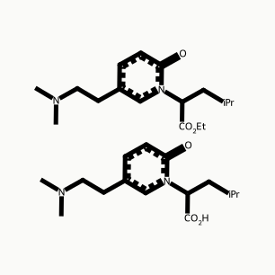 CC(C)CC(C(=O)O)n1cc(CCN(C)C)ccc1=O.CCOC(=O)C(CC(C)C)n1cc(CCN(C)C)ccc1=O